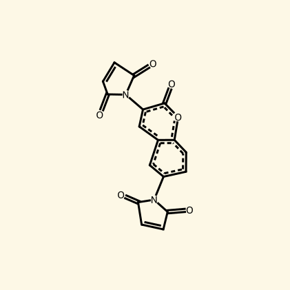 O=C1C=CC(=O)N1c1ccc2oc(=O)c(N3C(=O)C=CC3=O)cc2c1